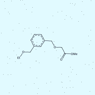 CCOCc1cccc(COCC(=O)OC)c1